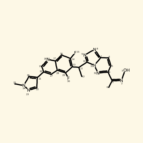 C/C(=N/O)c1ccc2nnc(C(C)c3c(F)cc4ncc(-c5cnn(C)c5)cc4c3F)n2n1